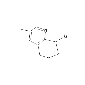 [Li][CH]1CCCc2cc(C)cnc21